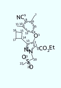 CCOC(=O)c1c(Oc2cc(C)c(C#N)c(C)c2)c(C2CCC2)nn1CS(C)(=O)=O